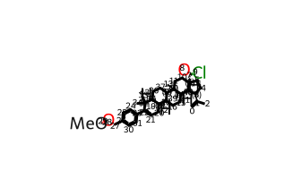 C=C(C)[C@@H]1CC[C@]2(C(=O)Cl)CC[C@]3(C)[C@H](CC[C@@H]4[C@@]5(C)CC=C(c6ccc(COOC)cc6)C(C)(C)[C@@H]5CC[C@]43C)[C@@H]12